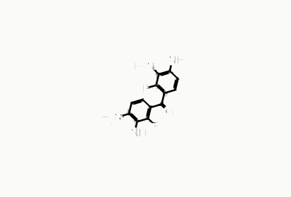 Nc1ccc(C(=O)c2ccc(N)c(N)c2F)c(F)c1N